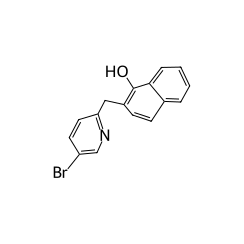 Oc1c(Cc2ccc(Br)cn2)ccc2ccccc12